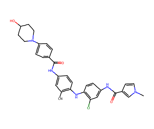 Cn1ccc(C(=O)Nc2ccc(Nc3ccc(NC(=O)c4ccc(N5CCC(O)CC5)cc4)cc3C#N)c(Cl)c2)c1